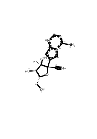 C[C@@]1(O)[C@H](O)[C@@H](CO)O[C@@]1(C#N)c1cc2ncnc(N)n2c1